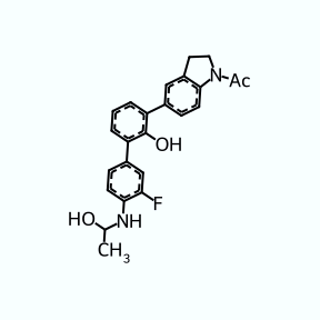 CC(=O)N1CCc2cc(-c3cccc(-c4ccc(NC(C)O)c(F)c4)c3O)ccc21